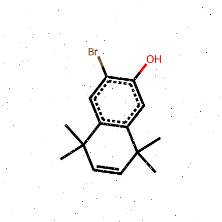 CC1(C)C=CC(C)(C)c2cc(Br)c(O)cc21